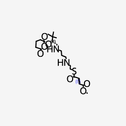 COC(=O)/C=C/C(=O)SCCNCCCNC[C@@H]1OC2(CCCC(=O)O2)OCC1(C)C